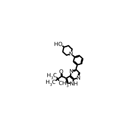 CC(C)(C)C(=O)c1c[nH]c2ncc(-c3cccc(N4CCC(O)CC4)c3)nc12